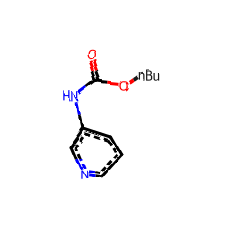 CCCCOC(=O)Nc1cccnc1